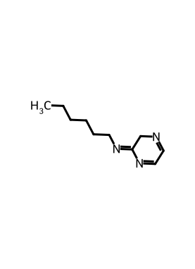 CCCCCCN=C1CN=CC=N1